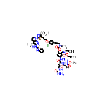 C#CCOC(=O)N(CC#C)Cc1cc(NC(=O)[C@H](CCCNC(N)=O)NC(=O)[C@@H](NC(=O)OC(C)(C)C)C(C)C)ccc1COC(=O)N(C)CC#Cc1ccc(OCCCc2sc(N3CCCc4c3nnc(Nc3nc5ccccc5s3)c4C)nc2C(=O)O)c(F)c1